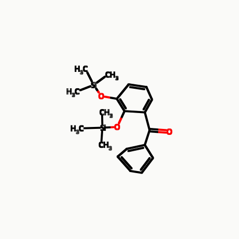 C[Si](C)(C)Oc1cccc(C(=O)c2ccccc2)c1O[Si](C)(C)C